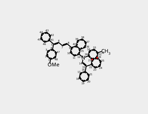 COc1ccc(/C(=C\C=C\c2ccc(N(C=C(c3ccccc3)c3ccccc3)c3ccc(C)cc3)c3ccccc23)c2ccccc2)cc1